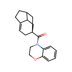 O=C(N1CCOc2ccccc21)C12CC=C3CCC(C1)C3C2